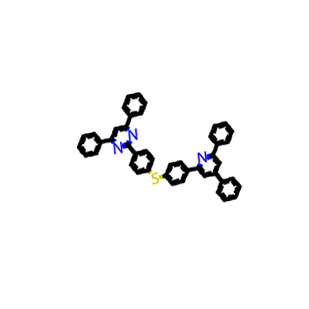 c1ccc(-c2cc(-c3ccccc3)nc(-c3ccc(Sc4ccc(-c5nc(-c6ccccc6)cc(-c6ccccc6)n5)cc4)cc3)c2)cc1